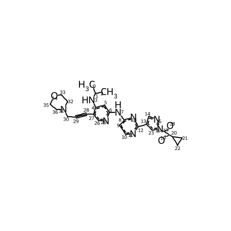 CC(C)Nc1cc(Nc2ccnc(-c3cnn(S(=O)(=O)C4CC4)c3)n2)ncc1C#CCN1CCOCC1